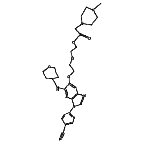 CN1CCN(CC(=O)OCCOCCOc2cc3ncn(-c4ccc(C#N)cn4)c3nc2NC2CCOCC2)CC1